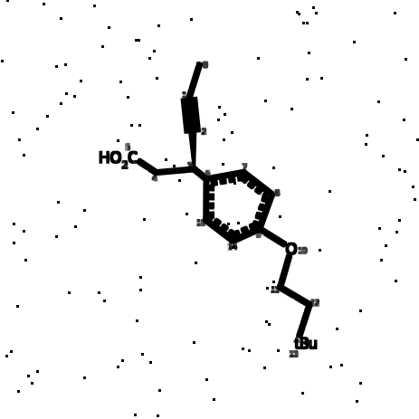 CC#C[C@H](CC(=O)O)c1ccc(OCCC(C)(C)C)cc1